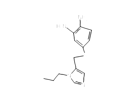 CCCn1cncc1CSc1ccc(N)c(N)c1